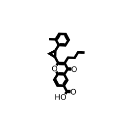 CCCCc1c(C2CC2c2ccccc2C)oc2ccc(C(=O)O)cc2c1=O